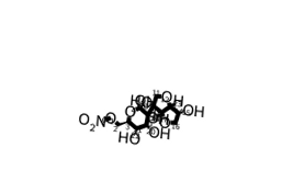 O=[N+]([O-])OC[C@H]1OC(O)[C@@](O)([C@@]2(O)CO[C@@H]3[C@H](O)CO[C@@H]32)[C@@H](O)[C@@H]1O